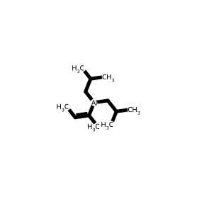 C/C=[C](/C)[Al]([CH2]C(C)C)[CH2]C(C)C